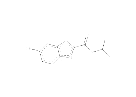 CC(C)NC(=O)c1cc2cc(Cl)ccc2[nH]1